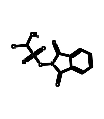 CC(Cl)S(=O)(=O)ON1C(=O)c2ccccc2C1=O